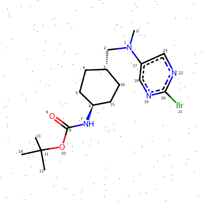 CN(C[C@H]1CC[C@H](NC(=O)OC(C)(C)C)CC1)c1cnc(Br)nc1